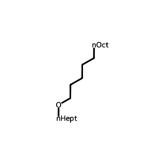 [CH2]CCCCCCCCCCCCOCCCCCCC